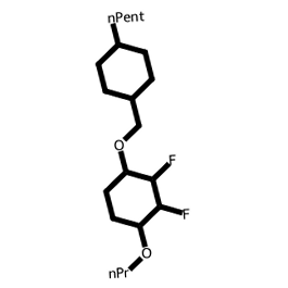 CCCCCC1CCC(COC2CCC(OCCC)C(F)C2F)CC1